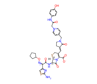 Nc1nc(/C(=N/OC2CCCC2)C(=O)N[C@@H]2C(=O)N3C(C(=O)[O-])=C(C=C4CCN(Cc5cc[n+](CC(=O)Nc6ccc(O)cc6)cc5)C4=O)CS[C@H]23)cs1